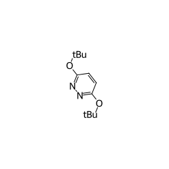 CC(C)(C)Oc1ccc(OC(C)(C)C)nn1